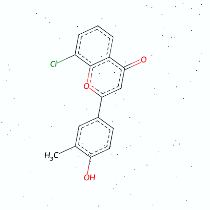 Cc1cc(-c2cc(=O)c3cccc(Cl)c3o2)ccc1O